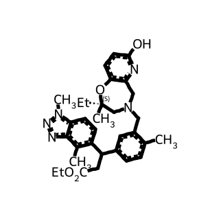 CCOC(=O)CC(c1ccc(C)c(CN2Cc3nc(O)ccc3O[C@@](C)(CC)C2)c1)c1ccc2c(nnn2C)c1C